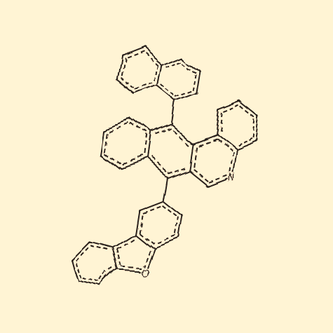 c1ccc2c(-c3c4ccccc4c(-c4ccc5oc6ccccc6c5c4)c4cnc5ccccc5c34)cccc2c1